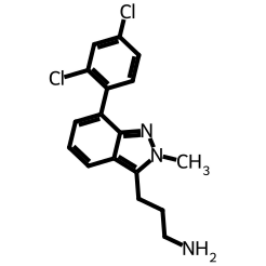 Cn1nc2c(-c3ccc(Cl)cc3Cl)cccc2c1CCCN